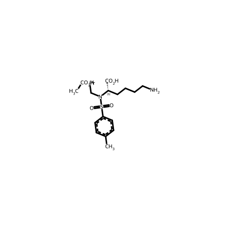 CC(=O)O.Cc1ccc(S(=O)(=O)N(CC(C)C)[C@@H](CCCCN)C(=O)O)cc1